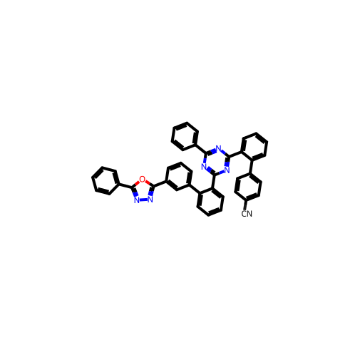 N#Cc1ccc(-c2ccccc2-c2nc(-c3ccccc3)nc(-c3ccccc3-c3cccc(-c4nnc(-c5ccccc5)o4)c3)n2)cc1